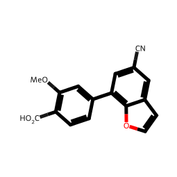 COc1cc(-c2cc(C#N)cc3ccoc23)ccc1C(=O)O